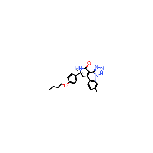 CCCCOc1ccc([C@]2(C)CC(c3ccc(C)cc3)=C(c3nnn[nH]3)C(=O)N2)cc1